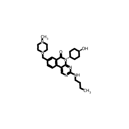 CCCCNc1ncc2c3ccc(CN4CCN(C)CC4)cc3c(=O)n([C@H]3CC[C@H](O)CC3)c2n1